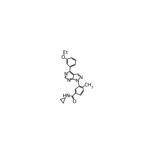 CCOc1cccc(-c2ncnc3c2cnn3-c2cc(C(=O)NC3CC3)ccc2C)c1